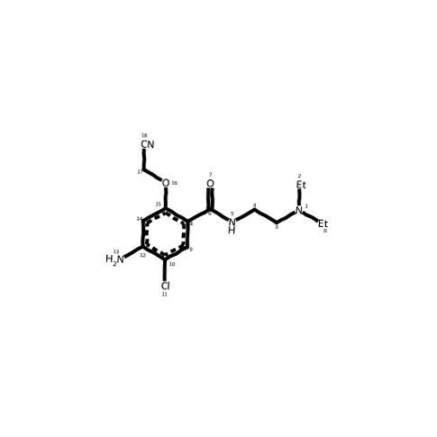 CCN(CC)CCNC(=O)c1cc(Cl)c(N)cc1OCC#N